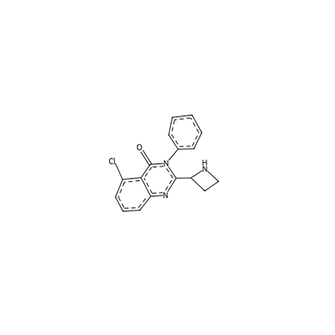 O=c1c2c(Cl)cccc2nc(C2CCN2)n1-c1ccccc1